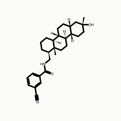 C[C@@]1(O)CC[C@H]2[C@H](CC[C@@H]3[C@@H]2CC[C@]2(C)[C@@H](CNC(=O)c4cccc(C#N)c4)CCC[C@@H]32)C1